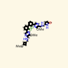 COc1nc(-c2cccc(-c3cccc(-c4cnc(CNC[C@H]5C[C@H](OC)C5)c(OC)n4)c3Cl)c2Cl)cnc1CNC[C@@H]1CCC(=O)N1